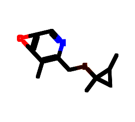 Cc1c(CSC2(C)CC2C)ncc2c1O2